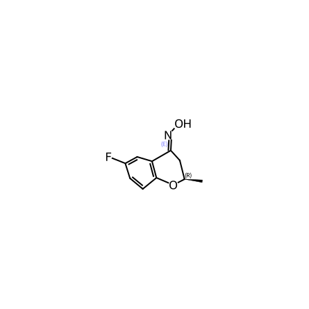 C[C@@H]1C/C(=N\O)c2cc(F)ccc2O1